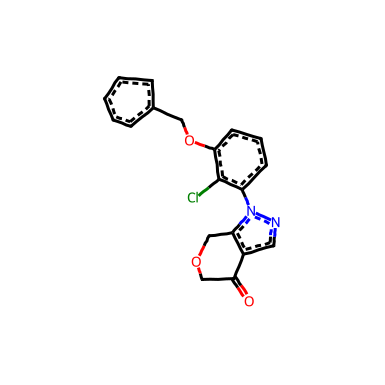 O=C1COCc2c1cnn2-c1cccc(OCc2ccccc2)c1Cl